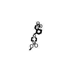 CCOC(=O)N1CCN(Cc2cccc3c2C=CS3(=O)=O)CC1